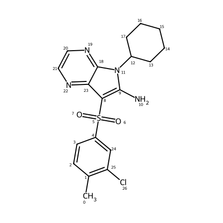 Cc1ccc(S(=O)(=O)c2c(N)n(C3CCCCC3)c3nccnc23)cc1Cl